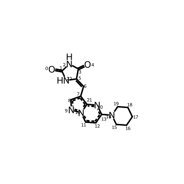 O=C1NC(=O)/C(=C/c2cnn3ccc(N4CCCCC4)nc23)N1